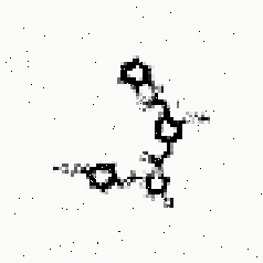 COc1cc(CC(=O)N2C[C@@H](Cl)C[C@H]2COc2ccc(C(=O)O)cc2)ccc1NC(=O)Nc1ccccc1Br